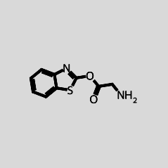 NCC(=O)Oc1nc2ccccc2s1